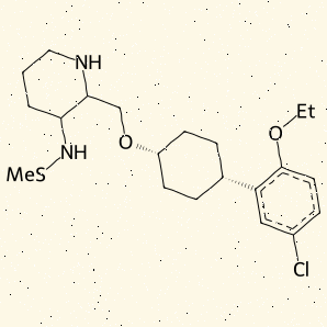 CCOc1ccc(Cl)cc1[C@H]1CC[C@@H](OCC2NCCCC2NSC)CC1